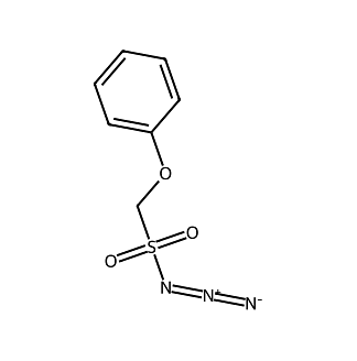 [N-]=[N+]=NS(=O)(=O)COc1ccccc1